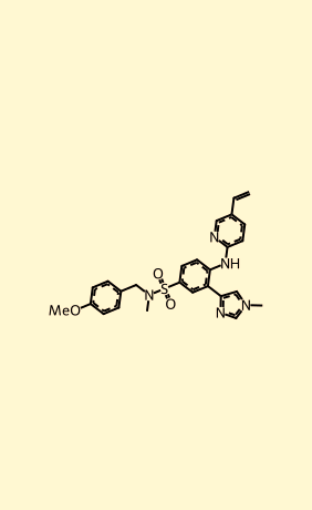 C=Cc1ccc(Nc2ccc(S(=O)(=O)N(C)Cc3ccc(OC)cc3)cc2-c2cn(C)cn2)nc1